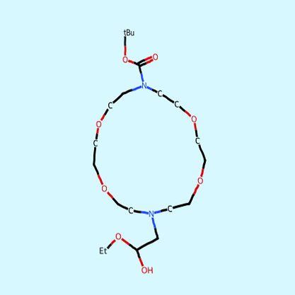 CCOC(O)CN1CCOCCOCCN(C(=O)OC(C)(C)C)CCOCCOCC1